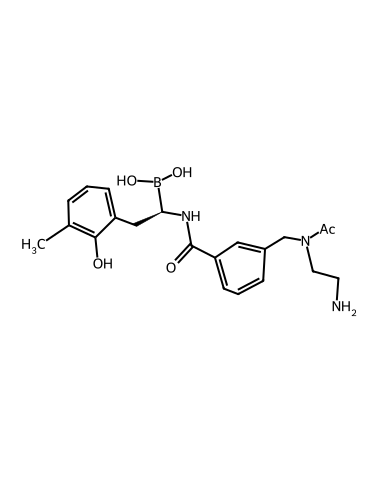 CC(=O)N(CCN)Cc1cccc(C(=O)N[C@@H](Cc2cccc(C)c2O)B(O)O)c1